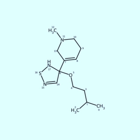 CC(C)CCOC1(C2=CCCN(C)C2)C=NSN1